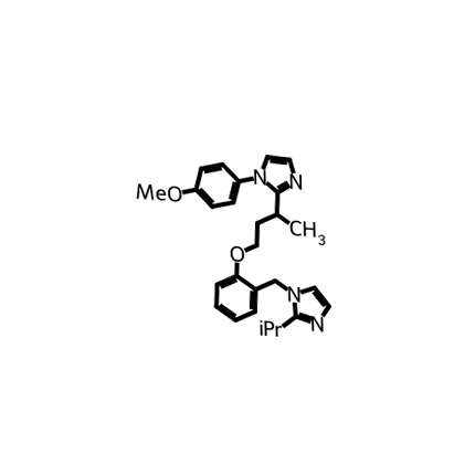 COc1ccc(-n2ccnc2C(C)CCOc2ccccc2Cn2ccnc2C(C)C)cc1